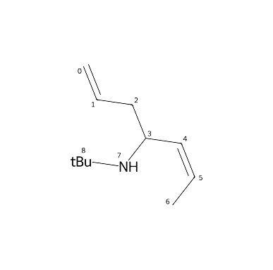 C=CCC(/C=C\C)NC(C)(C)C